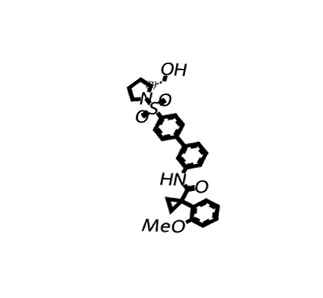 COc1ccccc1C1(C(=O)Nc2cccc(-c3ccc(S(=O)(=O)N4CCC[C@@H]4CO)cc3)c2)CC1